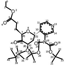 CCOC(=O)CC[C@H]1O[C@H](c2ccncc2N(C(=O)OC(C)(C)C)C(=O)OC(C)(C)C)C[C@@H](O[Si](C)(C)C(C)(C)C)C1=O